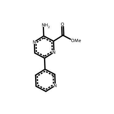 COC(=O)c1nc(-c2cccnc2)cnc1N